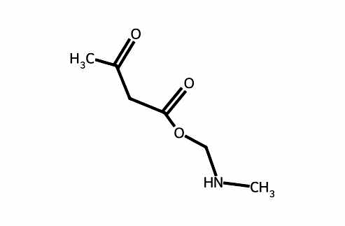 CNCOC(=O)CC(C)=O